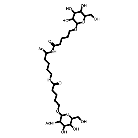 CC(=O)NC1C(OCCCCC(=O)NCCCCC(NC(=O)CCCCOC2OC(CO)C(O)C(O)C2O)C(C)=O)OC(CO)C(O)C1O